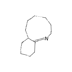 C1CCCC2CCCCC2=NCC1